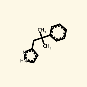 CC(C)(Cc1cc[nH]n1)c1ccccc1